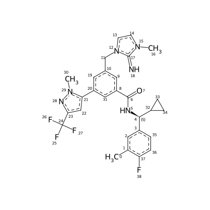 Cc1cc([C@@H](NC(=O)c2cc(Cn3ccn(C)c3=N)cc(-c3cc(C(F)(F)F)nn3C)c2)C2CC2)ccc1F